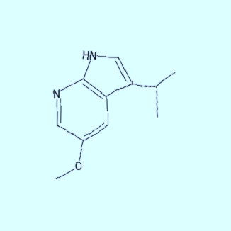 COc1cnc2[nH]cc(C(C)C)c2c1